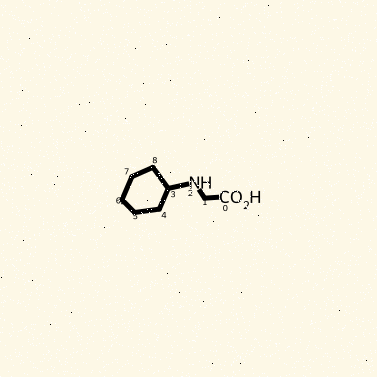 O=C(O)CNC1CC[CH]CC1